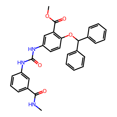 CNC(=O)c1cccc(NC(=O)Nc2ccc(OC(c3ccccc3)c3ccccc3)c(C(=O)OC)c2)c1